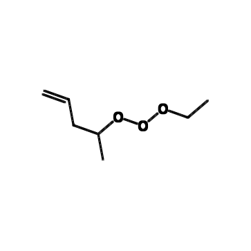 C=CCC(C)OOOCC